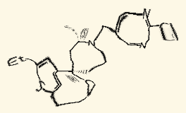 CCc1cc2c(s1)CCO[C@@]21CCN(Cc2cnc(Cl)nc2)[C@@H](C)C1